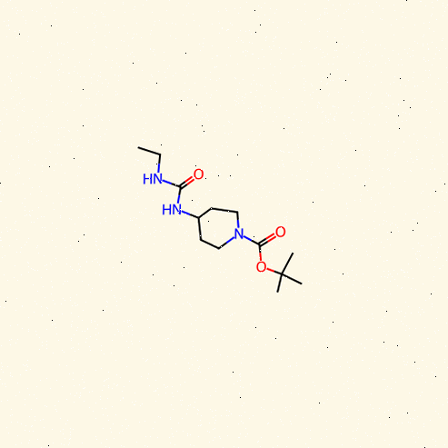 CCNC(=O)NC1CCN(C(=O)OC(C)(C)C)CC1